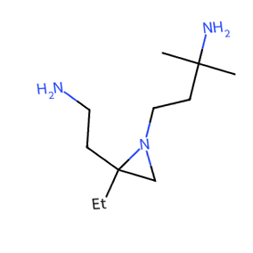 CCC1(CCN)CN1CCC(C)(C)N